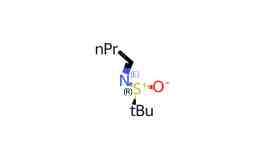 CCC/C=N/[S@@+]([O-])C(C)(C)C